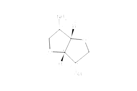 N[C@H]1CO[C@@H]2[C@H]1OC[C@@H]2O